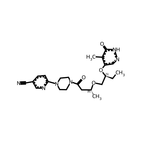 CC[C@@H](CO[C@H](C)CC(=O)N1CCN(c2ccc(C#N)cn2)CC1)Oc1cn[nH]c(=O)c1C